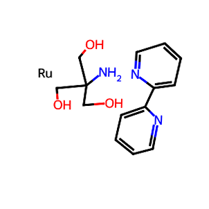 NC(CO)(CO)CO.[Ru].c1ccc(-c2ccccn2)nc1